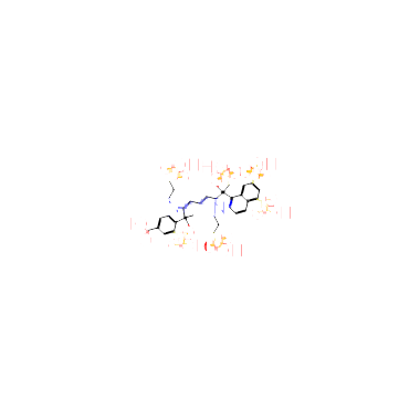 CC1(CS(=O)(=O)O)C(/C=C/C=C2/N(CCCS(=O)(=O)O)c3cc(C(=O)O)cc(S(=O)(=O)O)c3C2(C)C)=[N+](CCCS(=O)(=O)O)c2ccc3c(S(=O)(=O)O)cc(S(=O)(=O)O)cc3c21